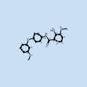 COc1cccc(Oc2ccc(NC(=O)c3nccc(OC)c3O)cc2)c1